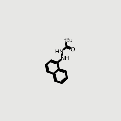 CC(C)(C)C(=O)NNc1cccc2ccccc12